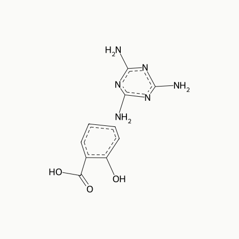 Nc1nc(N)nc(N)n1.O=C(O)c1ccccc1O